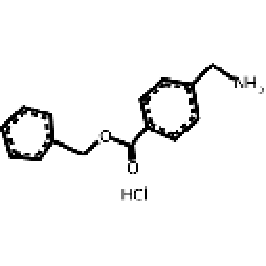 Cl.NCc1ccc(C(=O)OCc2ccccc2)cc1